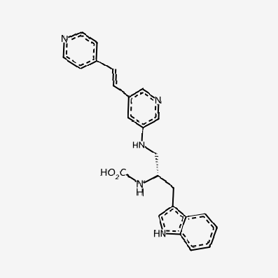 O=C(O)N[C@H](CNc1cncc(C=Cc2ccncc2)c1)Cc1c[nH]c2ccccc12